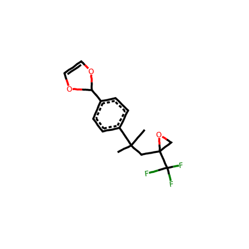 CC(C)(CC1(C(F)(F)F)CO1)c1ccc(C2OC=CO2)cc1